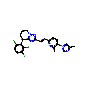 Cc1cn(-c2ccc(/C=C/c3nc4n(n3)CCC[C@@H]4c3c(F)ccc(F)c3F)nc2C)cn1